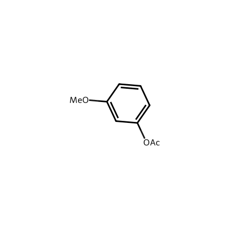 COc1cccc(OC(C)=O)c1